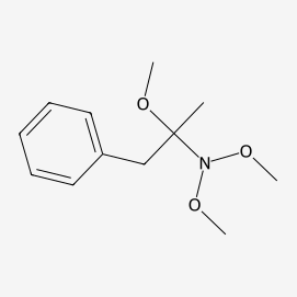 CON(OC)C(C)(Cc1ccccc1)OC